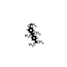 CC(C)c1ccc(C(C)(C)c2ccc(OP)cc2)cc1